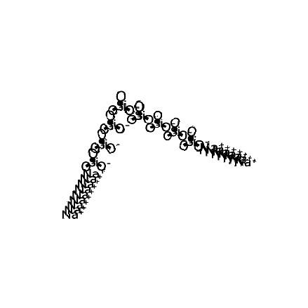 O=[Si]([O-])[O-].O=[Si]([O-])[O-].O=[Si]([O-])[O-].O=[Si]([O-])[O-].O=[Si]([O-])[O-].O=[Si]([O-])[O-].O=[Si]([O-])[O-].O=[Si]([O-])[O-].[Na+].[Na+].[Na+].[Na+].[Na+].[Na+].[Na+].[Na+].[Na+].[Na+].[Na+].[Na+].[Na+].[Na+].[Na+].[Na+]